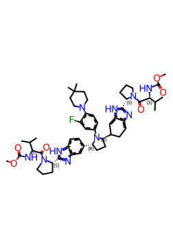 COC(=O)N[C@H](C(=O)N1CCC[C@H]1c1nc2c([nH]1)=CC([C@H]1CC[C@H](c3ccc4[nH]c([C@@H]5CCCN5C(=O)[C@@H](NC(=O)OC)C(C)C)nc4c3)N1c1ccc(N3CCC(C)(C)CC3)c(F)c1)CC=2)C(C)C